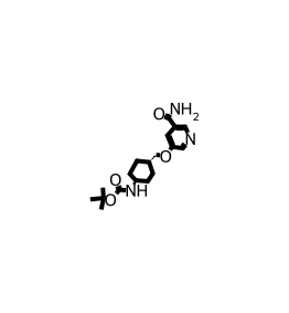 CC(C)(C)OC(=O)N[C@H]1CC[C@H](COc2cncc(C(N)=O)c2)CC1